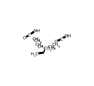 C.C.C.C.C.C.C=CC(=O)O.N=C=O.N=C=O